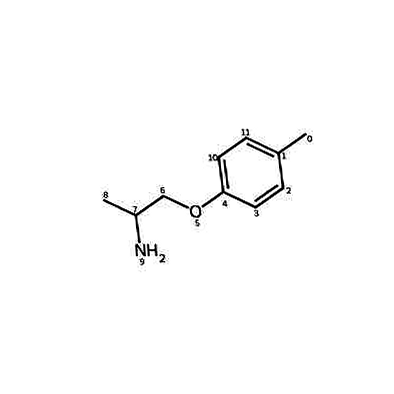 Cc1ccc(OCC(C)N)cc1